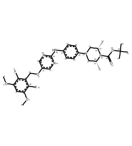 COc1cc(OC)c(F)c(COc2cnc(Nc3ccc(N4C[C@@H](C)N(C(=O)OC(C)(C)C)[C@@H](C)C4)cc3)nc2)c1F